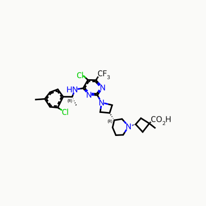 Cc1ccc([C@@H](C)Nc2nc(N3CC([C@H]4CCCN([C@H]5C[C@](C)(C(=O)O)C5)C4)C3)nc(C(F)(F)F)c2Cl)c(Cl)c1